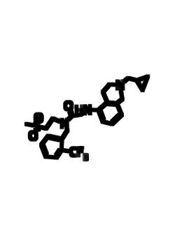 CS(=O)(=O)CCN(Cc1ccccc1C(F)(F)F)C(=O)CNc1cccc2c1CCN(CC1CC1)C2